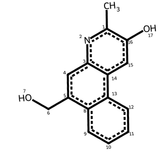 Cc1nc2cc(CO)c3ccccc3c2cc1O